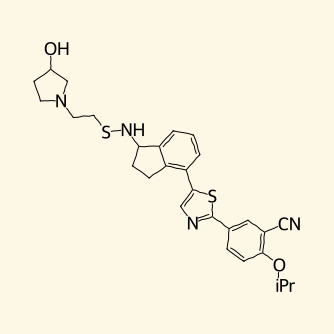 CC(C)Oc1ccc(-c2ncc(-c3cccc4c3CCC4NSCCN3CCC(O)C3)s2)cc1C#N